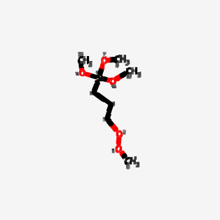 COOCCC[Si](OC)(OC)OC